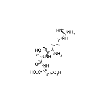 N=C(N)NCCC[C@H](N)C(=O)N[C@@H](CO)C(=O)N[C@@H](CC(=O)O)C(=O)O